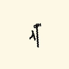 CCCCCCCCC=CCCCCCCCC(=O)O.CCCCN(CCCC)CCCC